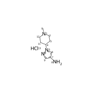 CN1CCC(n2cc(N)cn2)CC1.Cl